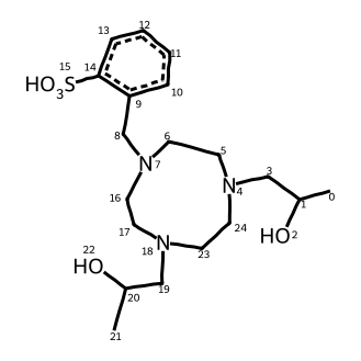 CC(O)CN1CCN(Cc2ccccc2S(=O)(=O)O)CCN(CC(C)O)CC1